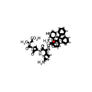 CN(CC(=O)O)C(=O)N1C[C@H](NC(=O)C(=NOC(C)(C)C(=O)C2CNCCN2C(c2ccccc2)(c2ccccc2)c2ccccc2)c2csc(N)n2)C1=O